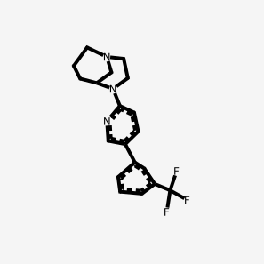 FC(F)(F)c1cccc(-c2ccc(N3CCN4CCCC3C4)nc2)c1